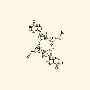 N#CCCOP1(=O)OCC2OC(n3cnc4c(=O)[nH]cnc43)[C@H](F)[C@@H]2OP(=O)(OCCC#N)OCC2OC(n3cnc4c(=O)[nH]cnc43)[C@H](F)[C@@H]2O1